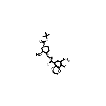 CC(C)(C)OC(=O)N1CC[C@@H](CNC(=O)c2cc(N)c(Cl)c3c2OCCO3)C(O)C1